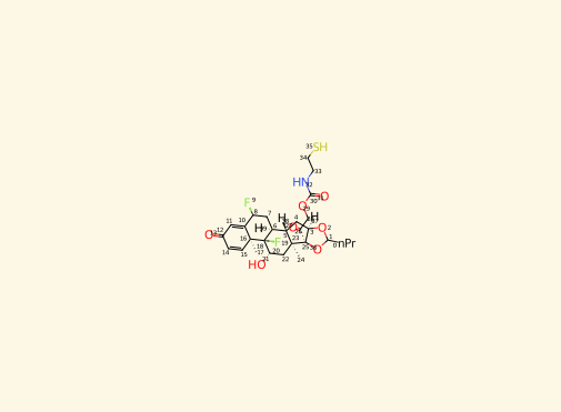 CCCC1O[C@@H]2C[C@H]3[C@@H]4C[C@H](F)C5=CC(=O)C=C[C@]5(C)[C@@]4(F)[C@@H](O)C[C@]3(C)[C@]2(C(=O)COC(=O)NCCS)O1